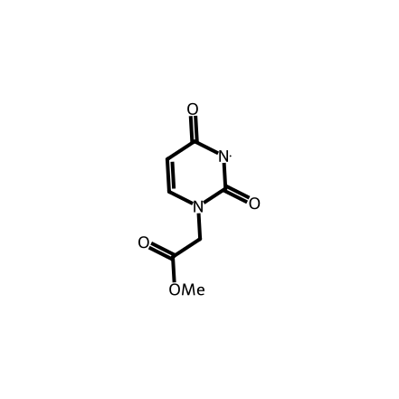 COC(=O)CN1C=CC(=O)[N]C1=O